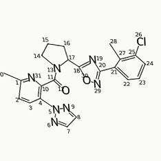 Cc1ccc(-n2nccn2)c(C(=O)N2CCCC2c2nc(-c3cccc(Cl)c3C)no2)n1